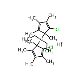 CC[Si](CC)(C1(C)C(C)=C(C)C(C)=C1Cl)C1(C)C(C)=C(C)C(C)=C1Cl.[Hf]